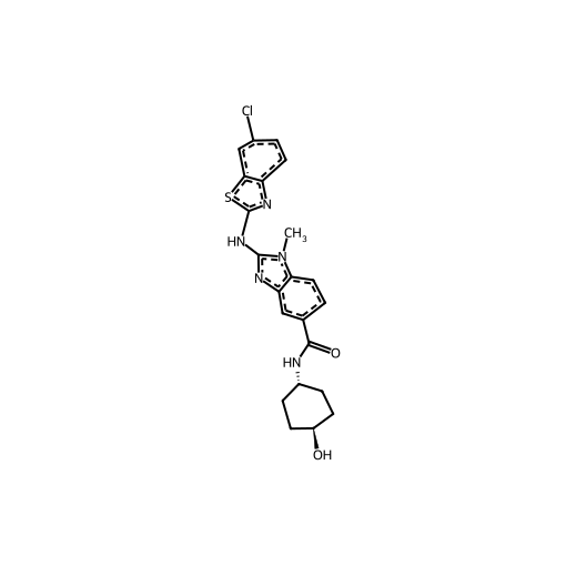 Cn1c(Nc2nc3ccc(Cl)cc3s2)nc2cc(C(=O)N[C@H]3CC[C@H](O)CC3)ccc21